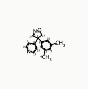 Cc1cc(C)cc(C2(c3ccncc3)C=NOC2)c1